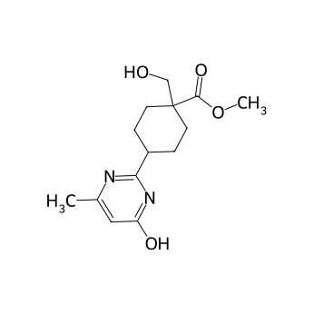 COC(=O)C1(CO)CCC(c2nc(C)cc(O)n2)CC1